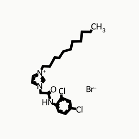 CCCCCCCCCCC[n+]1ccn(CC(=O)Nc2ccc(Cl)cc2Cl)c1.[Br-]